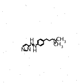 CN(C)CCCc1ccc(NNc2ccncn2)cc1